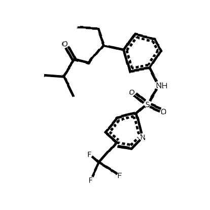 CCC(CC(=O)C(C)C)c1cccc(NS(=O)(=O)c2ccc(C(F)(F)F)cn2)c1